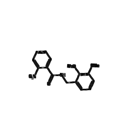 COc1cccc(CNC(=O)c2ccccc2[N+](=O)[O-])c1OC